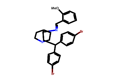 COc1ccccc1C=NC1C2CCN(CC2)C1C(c1ccc(Br)cc1)c1ccc(Br)cc1